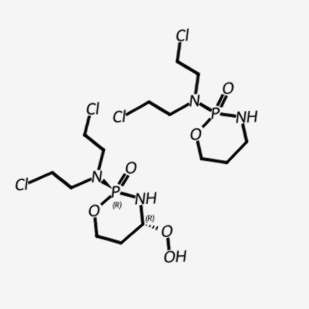 O=P1(N(CCCl)CCCl)NCCCO1.O=[P@]1(N(CCCl)CCCl)N[C@H](OO)CCO1